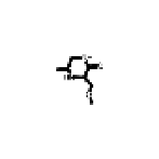 COCC1NC(C)CNC1=O